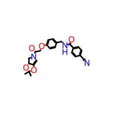 CC1(C)OC2=CN(C(=O)COc3ccc(CNC(=O)c4ccc(C#N)cc4)cc3)CC2O1